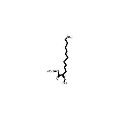 CCCCCCCCOC(=O)/C(CCCCCCCCCC[N+](=O)[O-])=N\O